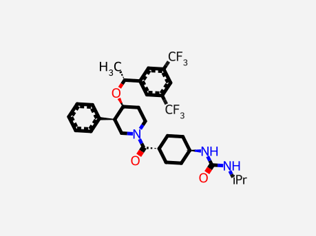 CC(C)NC(=O)N[C@H]1CC[C@H](C(=O)N2CC[C@H](O[C@H](C)c3cc(C(F)(F)F)cc(C(F)(F)F)c3)[C@H](c3ccccc3)C2)CC1